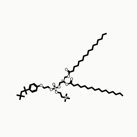 CCCCCCCCCCCCCCCC(=O)OC[C@H](COP(=O)(OCCOc1ccc(C(C)(C)CC(C)(C)C)cc1)OCC[N+](C)(C)C)OC(=O)CCCCCCCCCCCCCCC